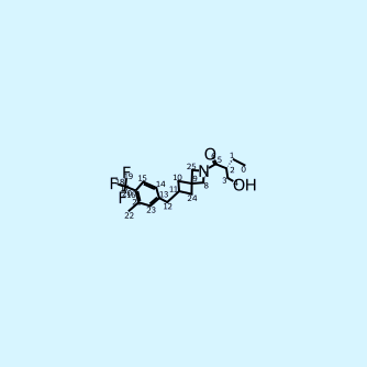 CC[C@H](CO)C(=O)N1CC2(CC(Cc3ccc(C(F)(F)F)c(C)c3)C2)C1